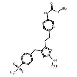 CC(C)(C)OC(=O)Nc1ccc(CCc2nc(NC(=O)O)sc2Cc2ccc(S(C)(=O)=O)cc2)cc1